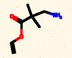 C=COC(=O)C(C)(C)CN